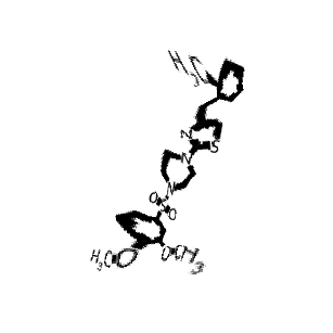 COc1ccc(S(=O)(=O)N2CCN(c3nc(Cc4ccccc4C)cs3)CC2)cc1OC